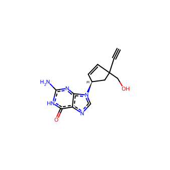 C#CC1(CO)C=C[C@H](n2cnc3c(=O)[nH]c(N)nc32)C1